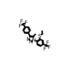 CCSc1cc(C(F)(F)F)ccc1-n1nnc(-c2ccc(C(F)(F)F)cc2)c1C